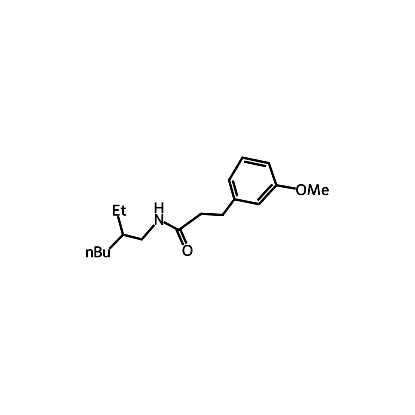 CCCCC(CC)CNC(=O)CCc1cccc(OC)c1